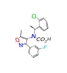 Cc1onc(-c2cccc(F)c2)c1N(C(=O)O)C(C)c1ccccc1Cl